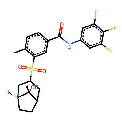 Cc1ccc(C(=O)Nc2cc(F)c(F)c(F)c2)cc1S(=O)(=O)C1CC2CC[C@@H](C1)[C@]2(C)O